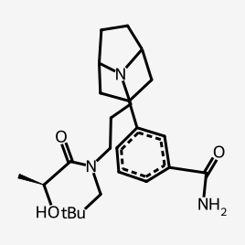 C[C@H](O)C(=O)N(CCCN1C2CCC1CC(c1cccc(C(N)=O)c1)C2)CC(C)(C)C